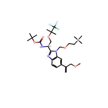 C=C(COC)c1ccc2nc([C@H](COC(C)(C)C(F)(F)F)NC(=O)OC(C)(C)C)n(COCC[Si](C)(C)C)c2c1